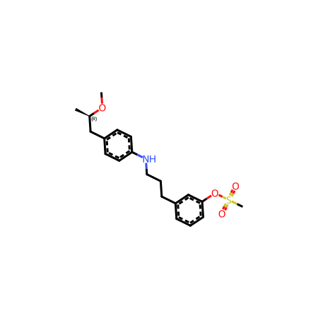 CO[C@H](C)Cc1ccc(NCCCc2cccc(OS(C)(=O)=O)c2)cc1